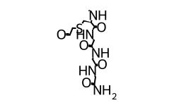 CN[C@H](CSCC=O)C(=O)NCC(=O)NCC(=O)NCC(N)=O